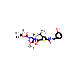 COC(=O)C(CNC(=O)OC(C)(C)C)NC(=O)c1sc(C(=O)NCc2cccc(O)c2)cc1C(C)C